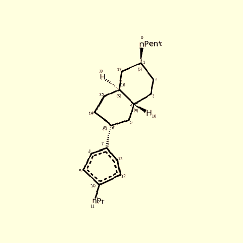 CCCCC[C@H]1CC[C@@H]2C[C@H](c3ccc(CCC)cc3)CC[C@H]2C1